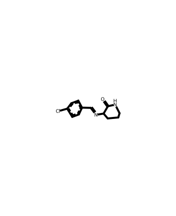 O=C1NCCCC1/N=C/c1ccc(Cl)cc1